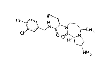 CC(C)C[C@H](C(=O)NCc1ccc(Cl)c(Cl)c1)N1CCC(C)N2C[C@H](N)C[C@H]2C1=O